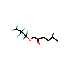 CC(C)CCC(=O)COC(F)(F)C(F)(F)C(F)F